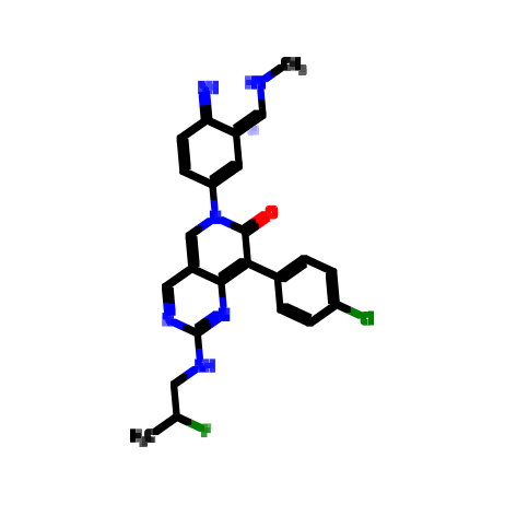 CN/C=C1/C=C(n2cc3cnc(NCC(C)F)nc3c(-c3ccc(Cl)cc3)c2=O)C=CC1=N